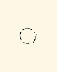 C1CNCCNCNCCNC1